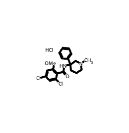 COc1cc(Cl)cc(Cl)c1C(=O)NC1(c2ccccc2)CCCN(C)C1.Cl